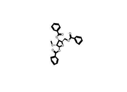 CO[C@H]1[C@H](OC(=O)c2ccccc2)O[C@H](COC(=O)c2ccccc2)[C@H]1OC(=O)c1ccccc1